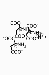 N[C@@H](CC(=O)[O-])C(=O)[O-].N[C@@H](CC(=O)[O-])C(=O)[O-].N[C@@H](CC(=O)[O-])C(=O)[O-].[N+3].[N+3]